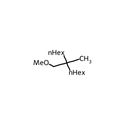 CCCCCCC(C)(CCCCCC)COC